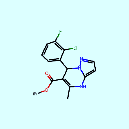 CC1=C(C(=O)OC(C)C)C(c2cccc(F)c2Cl)n2nccc2N1